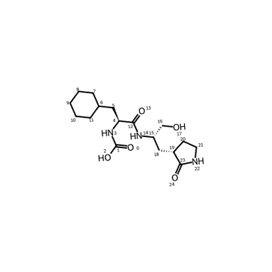 O=C(O)N[C@@H](CC1CCCCC1)C(=O)N[C@H](CO)C[C@@H]1CCNC1=O